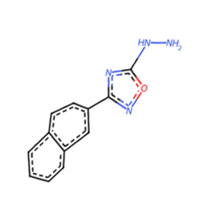 NNc1nc(-c2ccc3ccccc3c2)no1